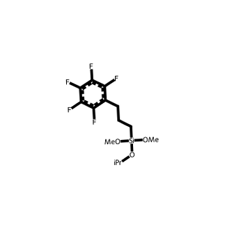 CO[Si](CCCc1c(F)c(F)c(F)c(F)c1F)(OC)OC(C)C